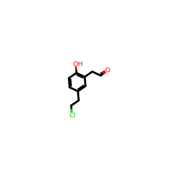 O=CCc1cc(CCCl)ccc1O